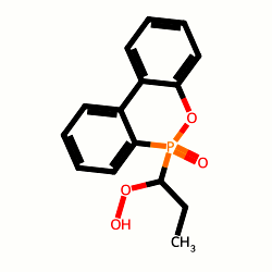 CCC(OO)P1(=O)Oc2ccccc2-c2ccccc21